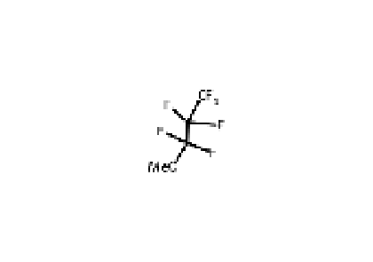 [CH2]OC(F)(F)C(F)(F)C(F)(F)F